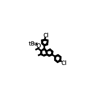 Cc1cc2cc(-c3ccc(Cl)cc3)ccc2c(-c2ccc(Cl)cc2)c1C(C)OC(C)(C)C